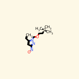 C=Cc1cc(N=O)nn1COCC[Si](C)(C)C